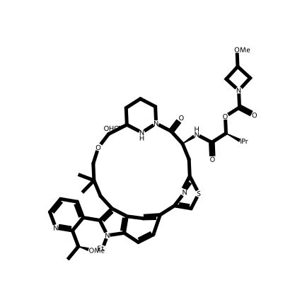 CCn1c(-c2cccnc2[C@H](C)OC)c2c3cc(ccc31)-c1csc(n1)C[C@H](NC(=O)[C@@H](OC(=O)N1CC(OC)C1)C(C)C)C(=O)N1CCC[C@](C=O)(COCC(C)(C)C2)N1